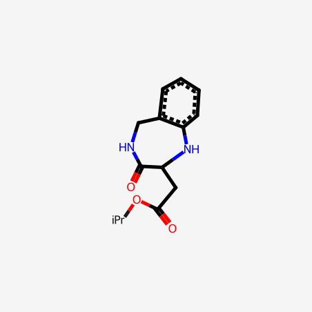 CC(C)OC(=O)CC1Nc2ccccc2CNC1=O